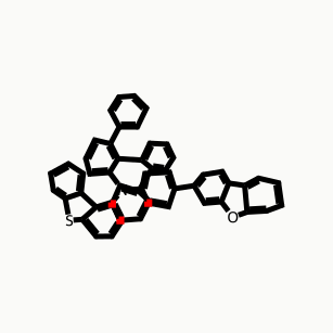 c1ccc(-c2ccccc2-c2c(-c3ccccc3)cccc2N(c2ccc(-c3ccc4c(c3)oc3ccccc34)cc2)c2cccc3sc4ccccc4c23)cc1